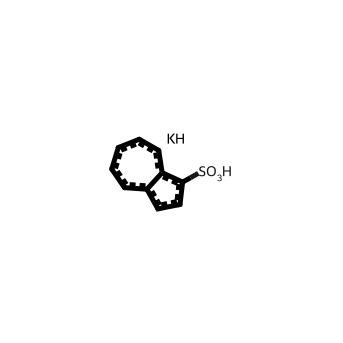 O=S(=O)(O)c1ccc2cccccc1-2.[KH]